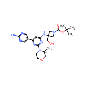 C[C@H]1COCCN1c1nc(NC2(CO)CN(C(=O)OC(C)(C)C)C2)cc(-c2cnc(N)nc2)n1